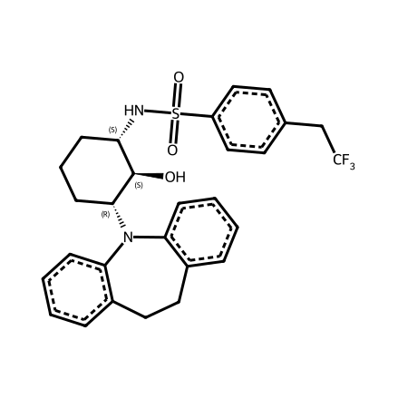 O=S(=O)(N[C@H]1CCC[C@@H](N2c3ccccc3CCc3ccccc32)[C@@H]1O)c1ccc(CC(F)(F)F)cc1